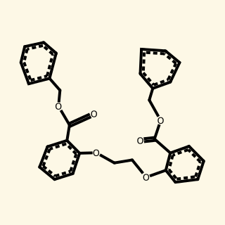 O=C(OCc1ccccc1)c1ccccc1OCCOc1ccccc1C(=O)OCc1ccccc1